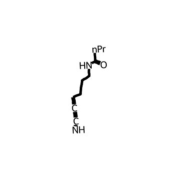 CCCC(=O)NCCCC=C=C=N